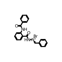 O=C(Nc1ccccc1C(=O)N[N+](Br)=Cc1ccccc1)c1ccccc1